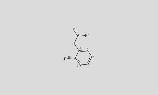 CC(F)Cc1cccnc1Cl